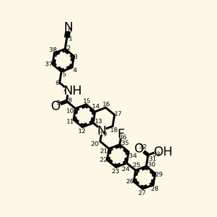 N#Cc1ccc(CNC(=O)c2ccc3c(c2)CCCN3Cc2ccc(-c3ccccc3C(=O)O)cc2F)cc1